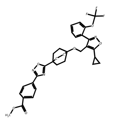 COC(=O)c1ccc(-c2noc(C34CCC(OCc5c(-c6ccccc6OC(F)(F)F)noc5C5CC5)(CC3)CC4)n2)cc1